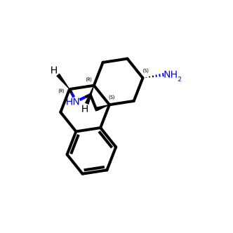 N[C@H]1CC[C@H]2[C@H]3Cc4ccccc4[C@@]2(CCN3)C1